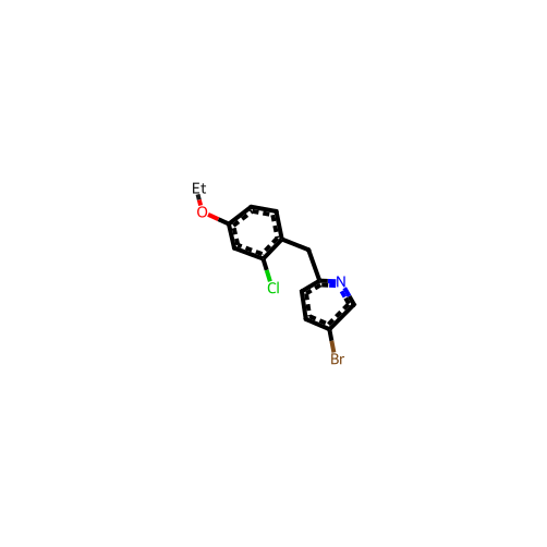 CCOc1ccc(Cc2ccc(Br)cn2)c(Cl)c1